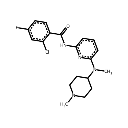 CN1CCC(N(C)c2cccc(NC(=O)c3ccc(F)cc3Cl)n2)CC1